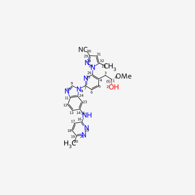 CO[C@H](O)Cc1ccc(-n2cnc3ccc(Nc4ccc(C)nn4)cc32)nc1-n1nc(C#N)cc1C